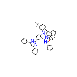 CC(C)(C)c1ccc2c3ccc(C(C)(C)C)cc3n(-c3ccc(-c4nc(-c5ccccc5)cc(-c5ccccc5)n4)cc3-c3nc(-c4ccccc4)cc(-c4ccccc4)n3)c2c1